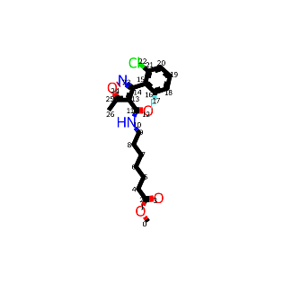 COC(=O)CCCCCCNC(=O)c1c(-c2c(F)cccc2Cl)noc1C